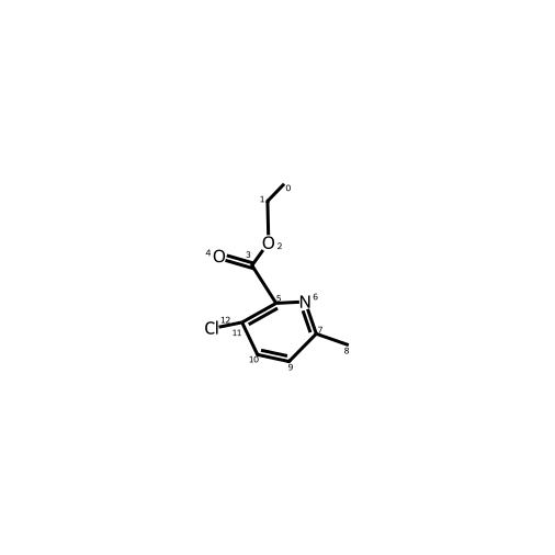 CCOC(=O)c1nc(C)ccc1Cl